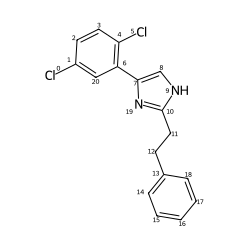 Clc1ccc(Cl)c(-c2c[nH]c(CCc3ccccc3)n2)c1